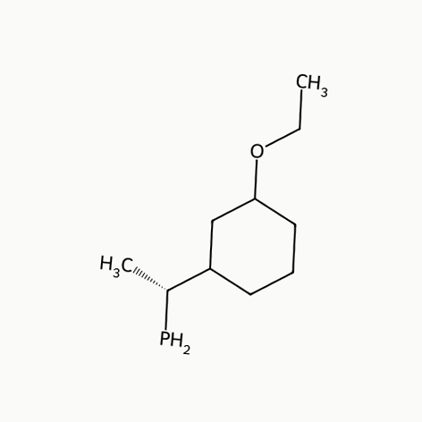 CCOC1CCCC([C@@H](C)P)C1